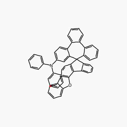 c1ccc(N(c2ccccc2)c2ccc3c(c2)C2(c4ccccc4-c4ccccc4-3)c3ccccc3-c3c2ccc2c3oc3ccccc32)cc1